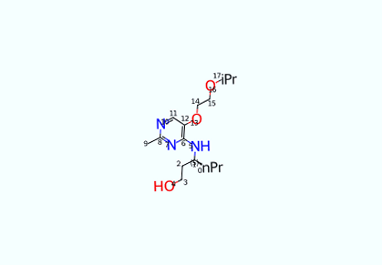 CCC[C@@H](CCO)Nc1nc(C)ncc1OCCOC(C)C